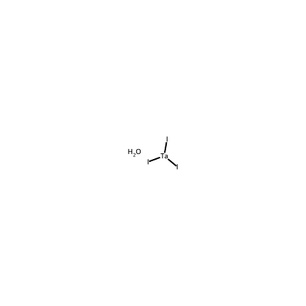 O.[I][Ta]([I])[I]